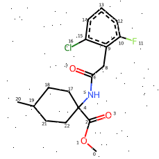 COC(=O)C1(NC(=O)Cc2c(F)cccc2Cl)CCC(C)CC1